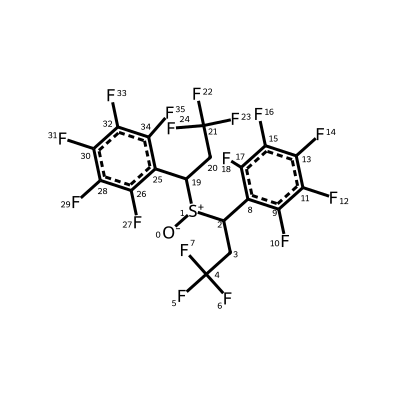 [O-][S+](C(CC(F)(F)F)c1c(F)c(F)c(F)c(F)c1F)C(CC(F)(F)F)c1c(F)c(F)c(F)c(F)c1F